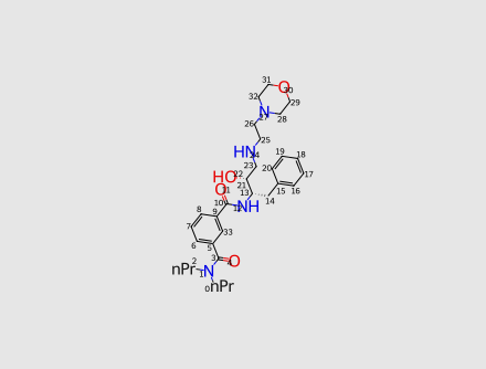 CCCN(CCC)C(=O)c1cccc(C(=O)N[C@@H](Cc2ccccc2)[C@H](O)CNCCN2CCOCC2)c1